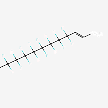 CC(F)(F)C(F)(F)C(F)(F)C(F)(F)C(F)(F)C(F)(F)C(F)(F)C(F)(F)C=CC(=O)O